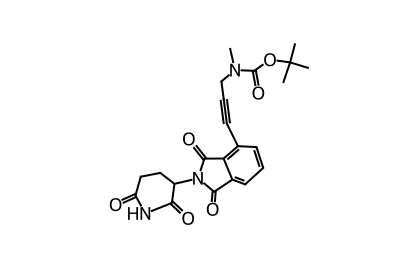 CN(CC#Cc1cccc2c1C(=O)N(C1CCC(=O)NC1=O)C2=O)C(=O)OC(C)(C)C